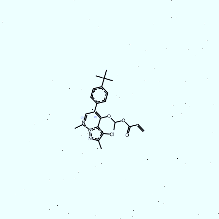 C=CC(=O)OC(C)O/C(=C(/C=N\C)c1ccc(C(C)(C)C)cc1)c1c(Cl)c(C)nn1CC